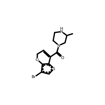 CC1CN(C(=O)C2=C[CH]Oc3c(Br)csc32)CCN1